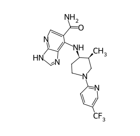 C[C@H]1CN(c2ccc(C(F)(F)F)cn2)CC[C@H]1Nc1c(C(N)=O)cnc2[nH]cnc12